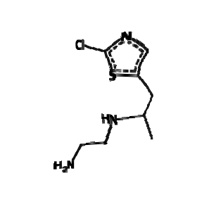 CC(Cc1cnc(Cl)s1)NCCN